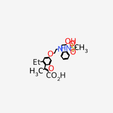 CCc1cc(OCCN(CCO)c2ccccc2NS(C)(=O)=O)cc2oc(C(=O)O)c(C)c12